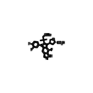 COCC(C)(C)c1c([C@H]2CO[C@H](C(=O)O)C2)c2c(F)c3[nH]ncc3cc2n1-c1ccc(F)c(F)c1